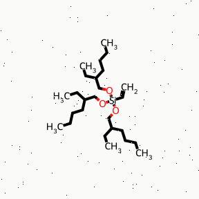 C=C[Si](OCC(CC)CCCC)(OCC(CC)CCCC)OCC(CC)CCCC